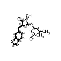 COC[C@@H](CC(C)C)NC1=N/C(=C\c2ccc3ncsc3c2)C(=O)N1C